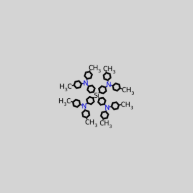 Cc1ccc(N(c2ccc(C)cc2)c2ccc([Si](c3ccc(N(c4ccc(C)cc4)c4ccc(C)cc4)cc3)(c3ccc(N(c4ccc(C)cc4)c4ccc(C)cc4)cc3)c3ccc(N(c4ccc(C)cc4)c4ccc(C)cc4)cc3)cc2)cc1